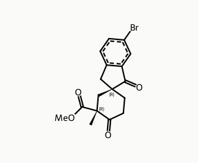 COC(=O)[C@]1(C)C[C@@]2(CCC1=O)Cc1ccc(Br)cc1C2=O